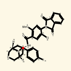 COc1cc(N2C(=O)c3ccccc3C2=O)c(Cl)cc1C(=O)N[C@H]1C[C@H]2COC[C@@H](C1)N2Cc1ccc(F)cc1